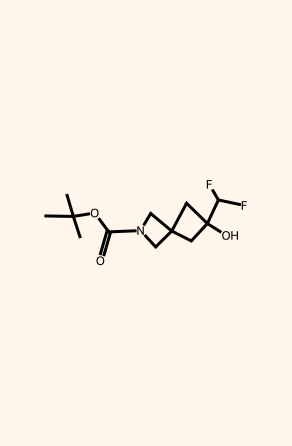 CC(C)(C)OC(=O)N1CC2(C1)CC(O)(C(F)F)C2